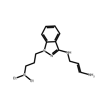 CCN(CC)CCCn1nc(NCC=CN)c2ccccc21